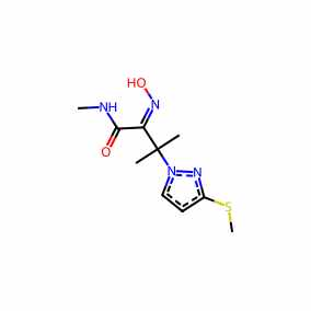 CNC(=O)C(=NO)C(C)(C)n1ccc(SC)n1